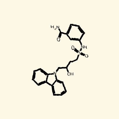 NC(=O)c1cccc(NS(=O)(=O)CCC(O)Cn2c3ccccc3c3ccccc32)c1